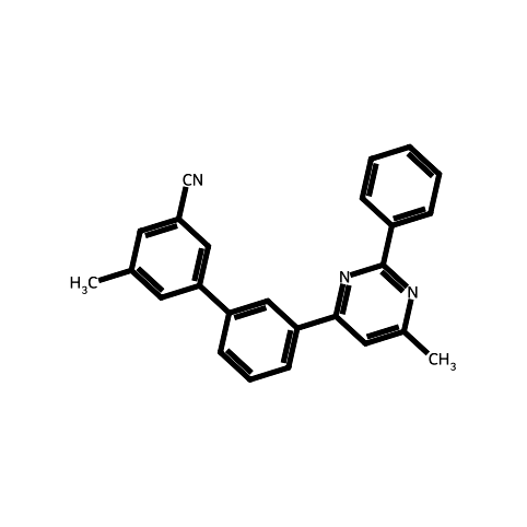 Cc1cc(C#N)cc(-c2cccc(-c3cc(C)nc(-c4ccccc4)n3)c2)c1